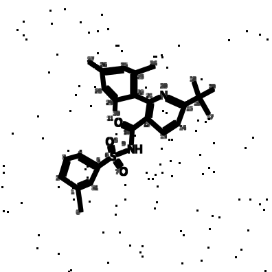 Cc1cccc(S(=O)(=O)NC(=O)c2ccc(C(C)(C)C)nc2-c2c(C)cc(C)cc2C)c1